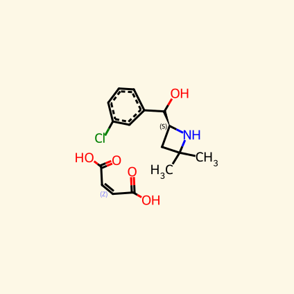 CC1(C)C[C@@H](C(O)c2cccc(Cl)c2)N1.O=C(O)/C=C\C(=O)O